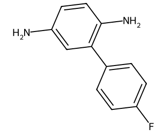 Nc1ccc(N)c(-c2ccc(F)cc2)c1